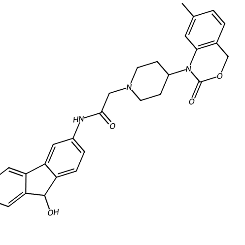 Cc1ccc2c(c1)N(C1CCN(CC(=O)Nc3ccc4c(c3)-c3ccccc3C4O)CC1)C(=O)OC2